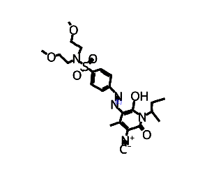 [C-]#[N+]c1c(C)c(/N=N/c2ccc(S(=O)(=O)N(CCOC)CCOC)cc2)c(O)n(C(C)CC)c1=O